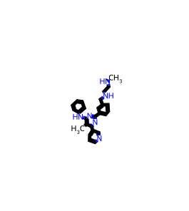 CNCCNCc1cccc(-c2nc(Nc3ccccc3)c(C)c(-c3cccnc3)n2)c1